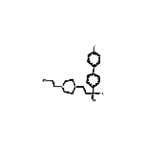 CC(O)(CCN1CCN(CCO)CC1)c1ccc(-c2ccc(Cl)cc2)cc1